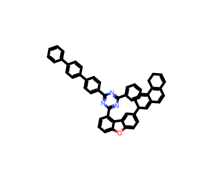 C1=Cc2ccc3c(c2CC1)=CCC(c1ccc2oc4cccc(-c5nc(-c6ccccc6)nc(-c6ccc(-c7ccc(-c8ccccc8)cc7)cc6)n5)c4c2c1)C=3